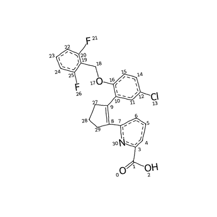 O=C(O)c1cccc(C2=C(c3cc(Cl)ccc3OCc3c(F)cccc3F)CCC2)n1